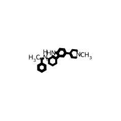 C[C@@H](N[C@@H]1CCCc2c1[nH]c1ccc(C3=CCN(C)CC3)cc21)c1ccccc1